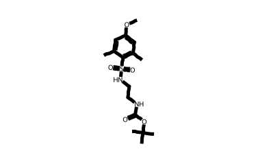 COc1cc(C)c(S(=O)(=O)NCCNC(=O)OC(C)(C)C)c(C)c1